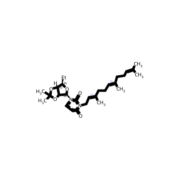 CC[C@H]1O[C@@H](n2ccc(=O)n(C/C=C(\C)CC/C=C(\C)CCC=C(C)C)c2=O)C2OC(C)(C)O[C@H]21